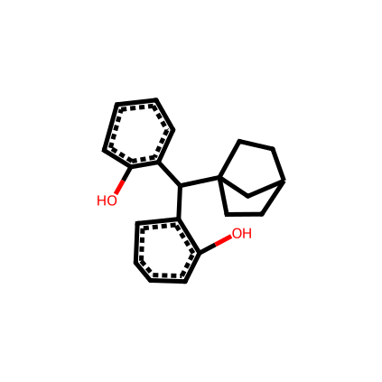 Oc1ccccc1C(c1ccccc1O)C12CCC(CC1)C2